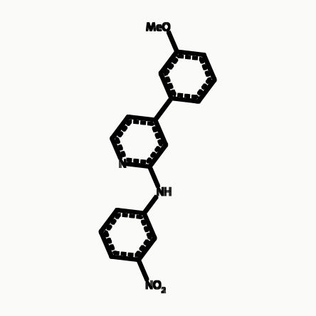 COc1cccc(-c2ccnc(Nc3cccc([N+](=O)[O-])c3)c2)c1